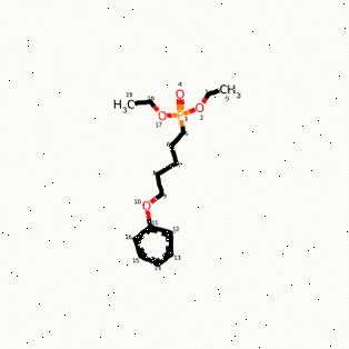 CCOP(=O)(CCCCCOc1[c]cccc1)OCC